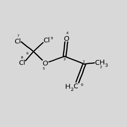 C=C(C)C(=O)OC(Cl)(Cl)Cl